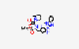 COC(=O)[C@H](Cc1ccc(Nc2nc3ccccc3n2C)cc1)Nc1c(N2CCCCC2C)c(=O)c1=O